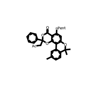 CCCCCc1cc2c(c3c1C(=O)OC(CC(C)=O)(c1ccccc1)O3)-c1cc(C)ccc1C(C)(C)O2